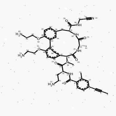 CC#Cc1ccc(C(=O)N[C@@H](CCN)C(=O)N(C)[C@@H]2C(=O)N[C@@H](C)C(=O)N[C@H](C(=O)NCC#N)Cc3ccc(OCCN)c(c3)-c3cc2ccc3OCCN)c(C)c1